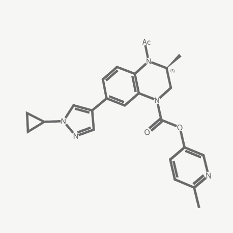 CC(=O)N1c2ccc(-c3cnn(C4CC4)c3)cc2N(C(=O)Oc2ccc(C)nc2)C[C@@H]1C